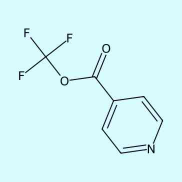 O=C(OC(F)(F)F)c1ccncc1